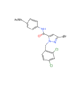 CC(=O)Nc1ccc(NC(=O)c2cc(C(C)(C)C)nn2Cc2ccc(Cl)cc2Cl)cc1